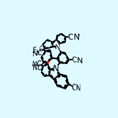 N#Cc1cc(-c2c(-n3c4cc(C#N)ccc4c4ccc(C#N)cc43)cc(C#N)cc2-n2c3cc(C#N)ccc3c3ccc(C#N)cc32)cc(C(F)(F)F)c1